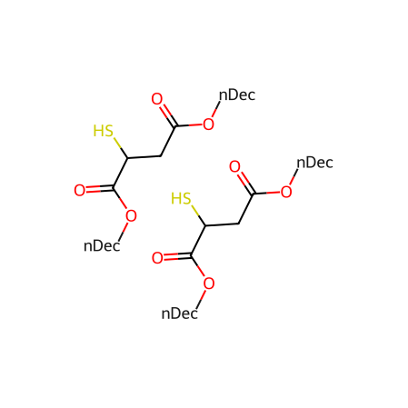 CCCCCCCCCCOC(=O)CC(S)C(=O)OCCCCCCCCCC.CCCCCCCCCCOC(=O)CC(S)C(=O)OCCCCCCCCCC